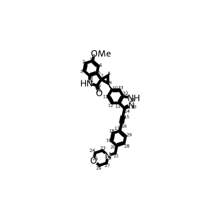 COc1ccc2c(c1)C1(C[C@H]1c1ccc3c(C#Cc4ccc(CN5CCOCC5)cc4)n[nH]c3c1)C(=O)N2